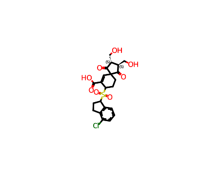 O=C(O)C1=CC2(CCC1S(=O)(=O)C1CCc3c(Cl)cccc31)C(=O)[C@H](CO)[C@@H](CO)C2=O